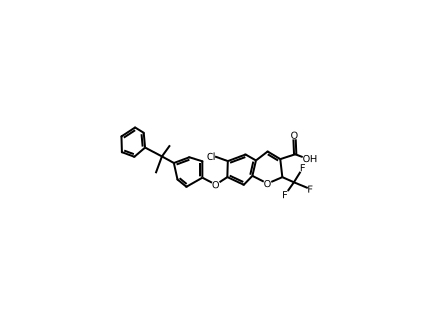 CC(C)(c1ccccc1)c1ccc(Oc2cc3c(cc2Cl)C=C(C(=O)O)C(C(F)(F)F)O3)cc1